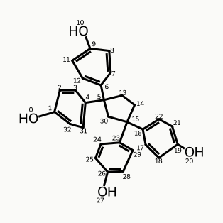 Oc1ccc(C2(c3ccc(O)cc3)CCC(c3ccc(O)cc3)(c3ccc(O)cc3)C2)cc1